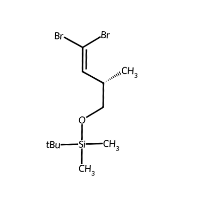 C[C@@H](C=C(Br)Br)CO[Si](C)(C)C(C)(C)C